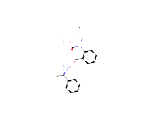 COCN(C(=O)O)c1ccccc1CO/N=C(/C)c1ccccc1